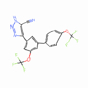 N#Cc1[nH]nnc1-c1cc(OC(F)(F)F)cc(-c2ccc(OC(F)(F)F)cc2)c1